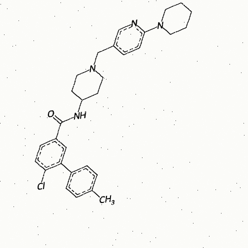 Cc1ccc(-c2cc(C(=O)NC3CCN(Cc4ccc(N5CCCCC5)nc4)CC3)ccc2Cl)cc1